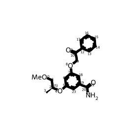 COC[C@H](C)Oc1cc(OCC(=O)c2ccccc2)cc(C(N)=O)c1